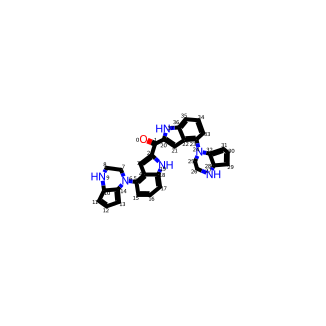 O=C(c1cc2c(N3CCNC4C=CC=C43)cccc2[nH]1)c1cc2c(N3CCNC4C=CC=C43)cccc2[nH]1